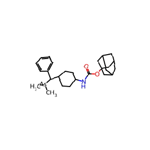 C[As](C)C(c1ccccc1)C1CCC(NC(=O)OC23CC4CC(CC(C4)C2)C3)CC1